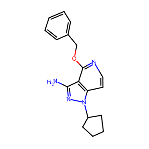 Nc1nn(C2CCCC2)c2ccnc(OCc3ccccc3)c12